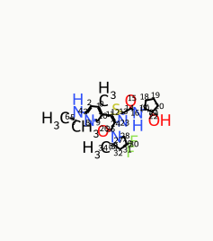 Cc1cc(NC(C)C)ncc1-c1sc(C(=O)N[C@H]2CCC[C@@H]2O)nc1C(=O)N1CC(F)(F)C[C@@H]1C